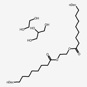 CCCCCCCCCCCCCCCCCC(=O)OCCOC(=O)CCCCCCCCCCCCCCCCC.OCC(O)CO.OCCO